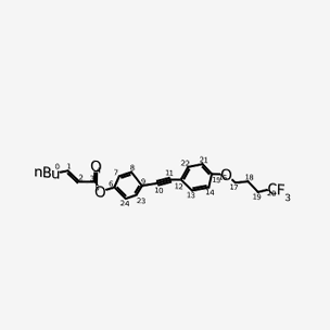 CCCCC=CC(=O)Oc1ccc(C#Cc2ccc(OCCCC(F)(F)F)cc2)cc1